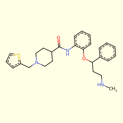 CNCCC(Oc1ccccc1NC(=O)C1CCN(Cc2cccs2)CC1)c1ccccc1